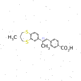 C/C(=C\c1ccc(C(=O)O)cc1)c1ccc2c(c1)SCC(C)CS2